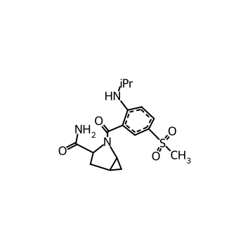 CC(C)Nc1ccc(S(C)(=O)=O)cc1C(=O)N1C(C(N)=O)CC2CC21